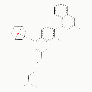 CN(C)CCCOc1nc(N2CC3CCC(C2)NC3)c2cc(Cl)c(-c3cc(O)cc4ccccc34)c(F)c2n1